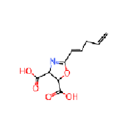 C=CCC=CC1=NC(C(=O)O)C(C(=O)O)O1